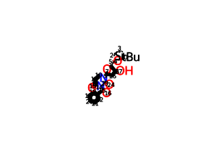 CC(C)(C)[Si](C)(C)OC[C@H]1O[C@@H](n2ccc(=O)n(C(=O)c3ccccc3)c2=O)C[C@@H]1O